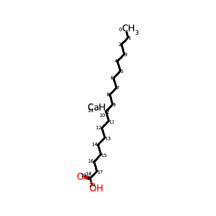 CCCCCCCCCCCCCCCCCCC(=O)O.[CaH2]